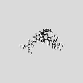 Cc1c(C(=O)NC(C)C)[nH]c2c1C[C@@H]1[C@@H]3Cc4ccc(CCC(=O)NC(C)C)c5c4[C@@]1(CCN3C)[C@H]2O5